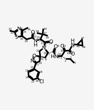 CCC[C@H](NC(=O)[C@@H]1C[C@]2(CC(c3cccc(Cl)c3)=NO2)CN1C(=O)[C@@H](NC(=O)Cc1sc(C)nc1C)C(C)(C)C)C(=O)C(=O)NC1CC1